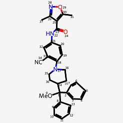 COC(c1ccccc1)(c1ccccc1)C1CCN(c2ccc(NC(=O)c3c(C)noc3C)cc2C#N)CC1